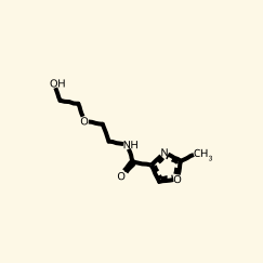 Cc1nc(C(=O)NCCOCCO)co1